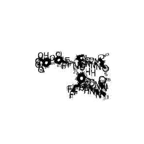 COc1cc(OC)nc(NC(=O)NS(=O)(=O)c2ncccc2C(=O)N(C)C)n1.COc1nc(C)nc(NC(=O)NS(=O)(=O)c2ccccc2CCC(F)(F)F)n1.O=C(O)c1cc(Oc2ccc(C(F)(F)F)cc2Cl)ccc1[N+](=O)[O-]